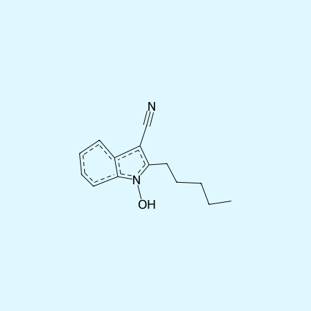 CCCCCc1c(C#N)c2ccccc2n1O